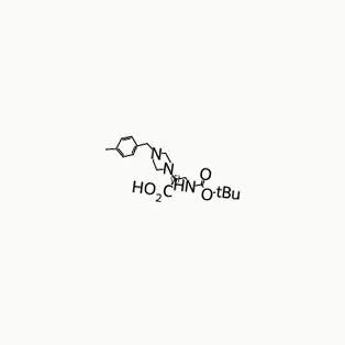 Cc1ccc(CN2CCN([C@@H](CNC(=O)OC(C)(C)C)C(=O)O)CC2)cc1